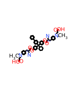 CCN(CCC(=O)O)c1ccc(/C=C(\C#N)C(=O)Oc2ccc(C(c3ccc(OC(=O)/C(C#N)=C/c4ccc(N(CC)CCC(=O)O)cc4)cc3)(c3ccc(-c4ccccc4)cc3)C3CCCCC3)cc2)cc1